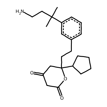 CC(C)(CCN)c1cccc(CCC2(C3CCCC3)CC(=O)CC(=O)O2)c1